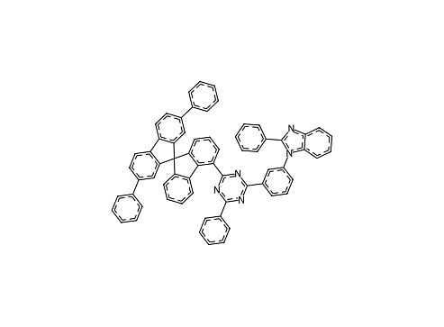 c1ccc(-c2ccc3c(c2)C2(c4cc(-c5ccccc5)ccc4-3)c3ccccc3-c3c(-c4nc(-c5ccccc5)nc(-c5cccc(-n6c(-c7ccccc7)nc7ccccc76)c5)n4)cccc32)cc1